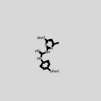 CCCCCc1ccc(NC(=N)Nc2nc(C)cc(OC)n2)cc1